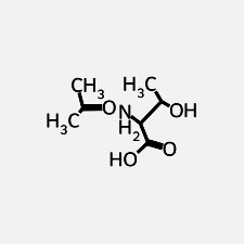 CC(C)=O.CC(O)C(N)C(=O)O